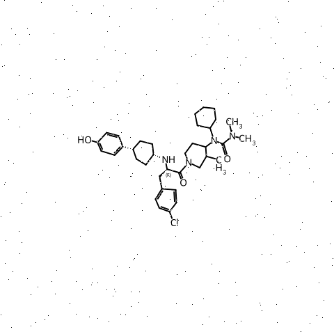 CC1CN(C(=O)[C@@H](Cc2ccc(Cl)cc2)N[C@H]2CC[C@@H](c3ccc(O)cc3)CC2)CCC1N(C(=O)N(C)C)C1CCCCC1